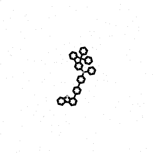 c1ccc(N(c2ccc(-c3ccc(-c4cccc5c4oc4ccccc45)cc3)cc2)c2ccc3c(c2)C(c2ccccc2)(c2ccccc2)c2ccccc2-3)cc1